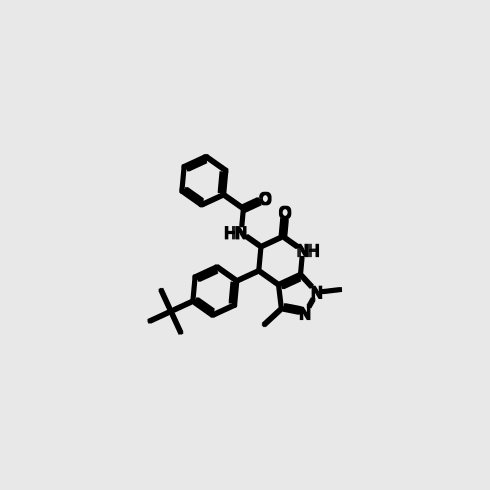 Cc1nn(C)c2c1C(c1ccc(C(C)(C)C)cc1)C(NC(=O)c1ccccc1)C(=O)N2